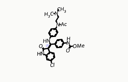 COC(=O)Nc1ccc(/C(Nc2ccc(N(CCN(C)C)C(C)=O)cc2)=C2/C(=O)Nc3cc(Cl)ccc32)cc1